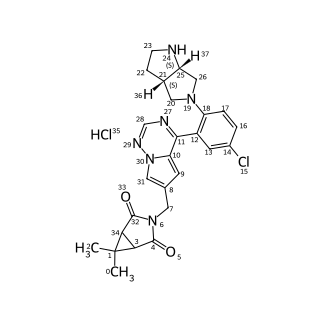 CC1(C)C2C(=O)N(Cc3cc4c(-c5cc(Cl)ccc5N5C[C@@H]6CCN[C@@H]6C5)ncnn4c3)C(=O)C21.Cl